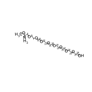 COC(N)COCCOCCOCCOCCOCCOCCOCCOCCO